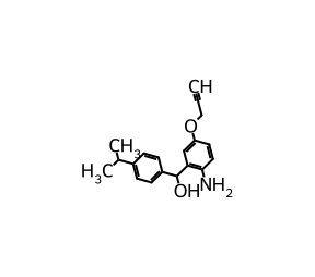 C#CCOc1ccc(N)c(C(O)c2ccc(C(C)C)cc2)c1